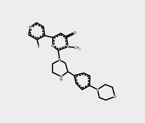 Cn1c(N2CCNC(c3ccc(N4CCOCC4)cc3)C2)nc(-c2ccncc2F)cc1=O